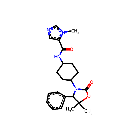 Cn1cncc1C(=O)NC1CCC(N2C(=O)OC(C)(C)C2c2ccccc2)CC1